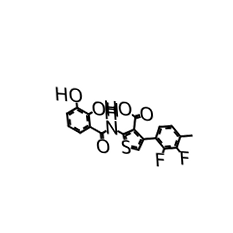 Cc1ccc(-c2csc(NC(=O)c3cccc(O)c3O)c2C(=O)O)c(F)c1F